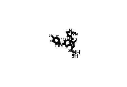 C=C(C)C1(Cc2ccnn2C)CC=C(Nc2ccc(C)cc2)C=C1CCNS